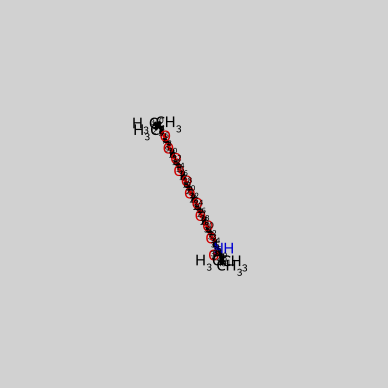 CC(C)(C)CCOCCOCCOCCOCCOCCOCCOCCOCCOCCOCCNC(=O)CC(C)(C)C